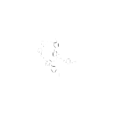 Cc1cc(OCCN2CCC(N)C2)nn1-c1ccc(Cl)c(Cl)c1.Cc1cc(OCCN2CCNCC2)nn1-c1ccc(Cl)c(Cl)c1